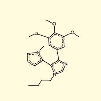 CCCCn1cnc(-c2cc(OC)c(OC)c(OC)c2)c1-c1cccn1C